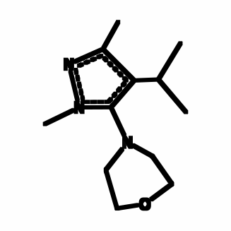 Cc1nn(C)c(N2CCOCC2)c1C(C)C